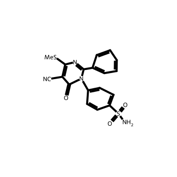 CSc1nc(-c2ccccc2)n(-c2ccc(S(N)(=O)=O)cc2)c(=O)c1C#N